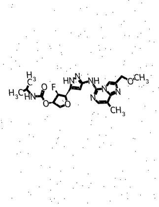 COCc1cn2c(Nc3cc([C@H]4OC[C@@H](OC(=O)NC(C)C)[C@H]4F)[nH]n3)ncc(C)c2n1